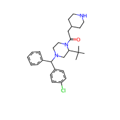 CC(C)(C)C1CN(C(c2ccccc2)c2ccc(Cl)cc2)CCN1C(=O)CC1CCNCC1